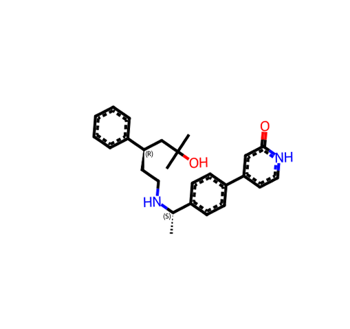 C[C@H](NCC[C@H](CC(C)(C)O)c1ccccc1)c1ccc(-c2cc[nH]c(=O)c2)cc1